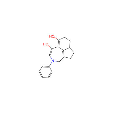 OC1=CN(c2ccccc2)CC2=C3C1=C(O)CCC3CC2